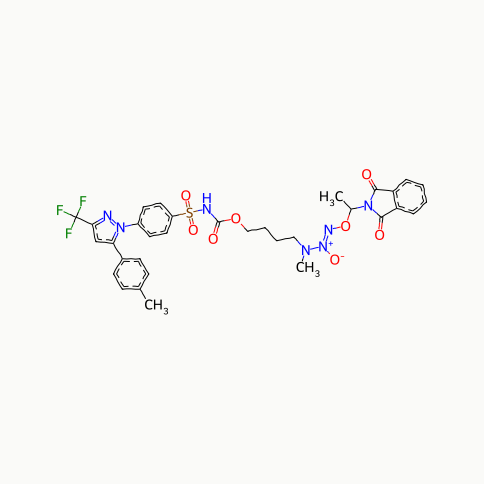 Cc1ccc(-c2cc(C(F)(F)F)nn2-c2ccc(S(=O)(=O)NC(=O)OCCCCN(C)[N+]([O-])=NOC(C)N3C(=O)c4ccccc4C3=O)cc2)cc1